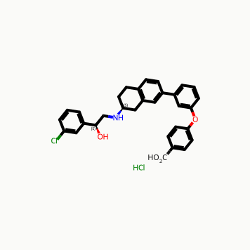 Cl.O=C(O)c1ccc(Oc2cccc(-c3ccc4c(c3)C[C@@H](NC[C@@H](O)c3cccc(Cl)c3)CC4)c2)cc1